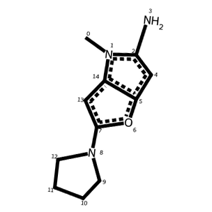 Cn1c(N)cc2oc(N3CCCC3)cc21